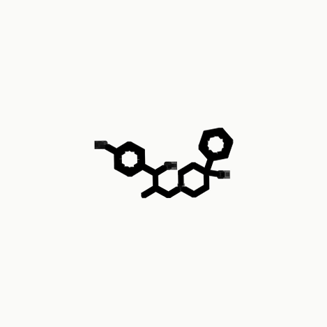 CC(CN1CCC(O)(c2ccccc2)CC1)C(O)c1ccc(O)cc1